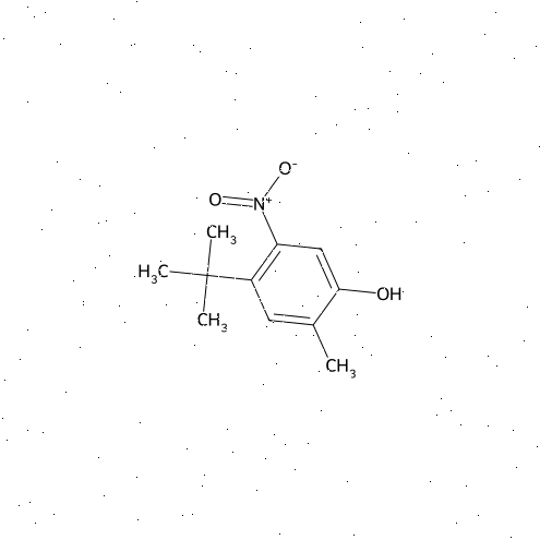 Cc1cc(C(C)(C)C)c([N+](=O)[O-])cc1O